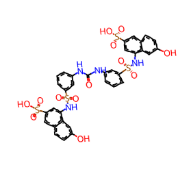 O=C(Nc1cccc(S(=O)(=O)Nc2cc(S(=O)(=O)O)cc3ccc(O)cc23)c1)Nc1cccc(S(=O)(=O)Nc2cc(S(=O)(=O)O)cc3ccc(O)cc23)c1